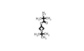 CC(C)(C)C(=O)OC1CN(C(C)(C)C)C1